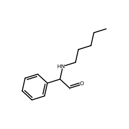 CCCCCNC([C]=O)c1ccccc1